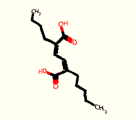 CCCCCC(=CC=C(CCCC)C(=O)O)C(=O)O